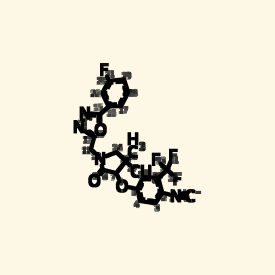 [C-]#[N+]c1ccc(OC2C(=O)N(Cc3nnc(-c4cccc(F)c4)o3)CC2(C)C)cc1C(F)(F)F